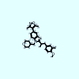 COc1ccc(CC(C)c2nc3cc(-c4c(C)noc4C)ccc3n2CC2CCOCC2)cc1F